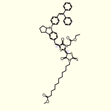 CCOC(=O)Cn1c(=O)/c(=C\c2ccc3c(c2)C2CCCC2N3c2ccc(C=C(c3ccccc3)c3ccccc3)cc2)s/c1=C1/SC(=S)N(CCCCCCCCCCCC(=O)OC)C1=O